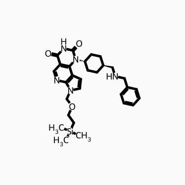 C[Si](C)(C)CCOCn1ccc2c1ncc1c(=O)[nH]c(=O)n([C@H]3CC[C@H](CNCc4ccccc4)CC3)c12